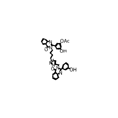 CC(=O)Oc1cc(O)cc(-c2nc3ccccc3c(=O)n2CCCCn2cc(Cn3c(-c4cccc(O)c4)nc4ccccc4c3=O)nn2)c1